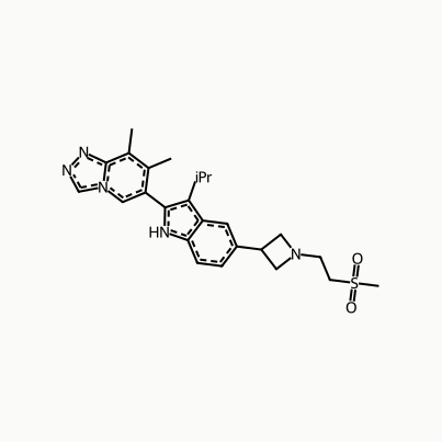 Cc1c(-c2[nH]c3ccc(C4CN(CCS(C)(=O)=O)C4)cc3c2C(C)C)cn2cnnc2c1C